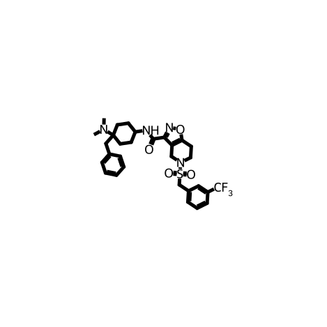 CN(C)C1(Cc2ccccc2)CCC(NC(=O)c2noc3c2CN(S(=O)(=O)Cc2cccc(C(F)(F)F)c2)CC3)CC1